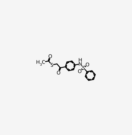 CC(=O)SCC(=O)c1ccc(NS(=O)(=O)c2ccccc2)cc1